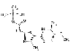 COC(=O)[C@H](C)NC(=O)c1sc(NC(=O)OC(C)(C)C)nc1C